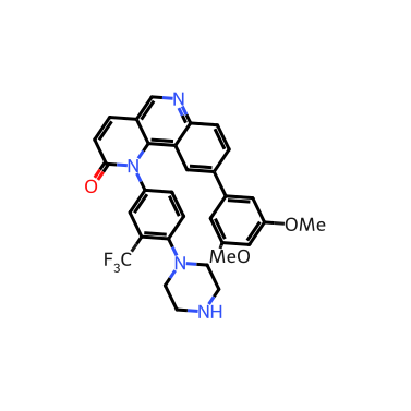 COc1cc(OC)cc(-c2ccc3ncc4ccc(=O)n(-c5ccc(N6CCNCC6)c(C(F)(F)F)c5)c4c3c2)c1